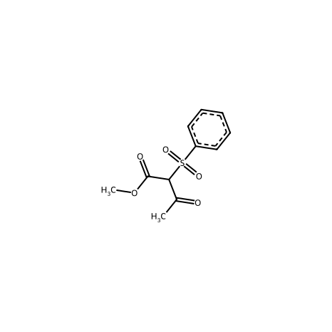 COC(=O)C(C(C)=O)S(=O)(=O)c1ccccc1